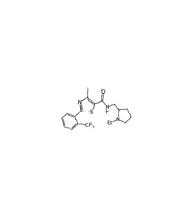 CCN1CCCC1CNC(=O)c1sc(-c2ccccc2C(F)(F)F)nc1C